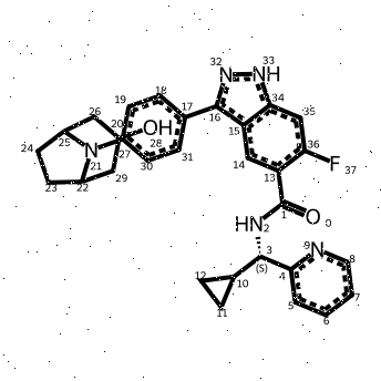 O=C(N[C@H](c1ccccn1)C1CC1)c1cc2c(-c3ccc(N4C5CCC4CC(O)C5)cc3)n[nH]c2cc1F